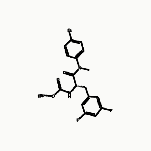 CCc1ccc(N(C)C(=O)[C@H](Cc2cc(F)cc(F)c2)NC(=O)OC(C)(C)C)cc1